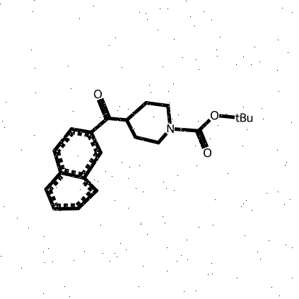 CC(C)(C)OC(=O)N1CCC(C(=O)c2ccc3ccccc3c2)CC1